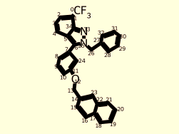 FC(F)(F)c1cccc2c(-c3cccc(OCc4ccc5ccccc5c4)c3)n(Cc3ccccc3)nc12